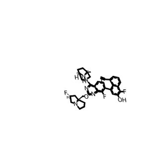 C#Cc1cccc2c(F)c(O)cc(-c3c(F)cc4c(N5C[C@H]6CC[C@](C)(C5)N6)nc(OC[C@@]56CCCN5C[C@H](F)C6)nc4c3F)c12